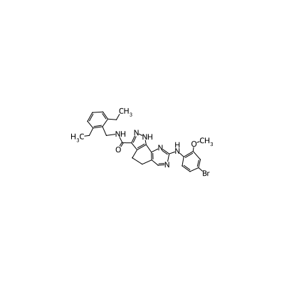 CCc1cccc(CC)c1CNC(=O)c1n[nH]c2c1CCc1cnc(Nc3ccc(Br)cc3OC)nc1-2